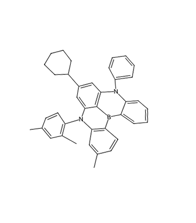 Cc1ccc(N2c3cc(C)ccc3B3c4ccccc4N(c4ccccc4)c4cc(C5CCCCC5)cc2c43)c(C)c1